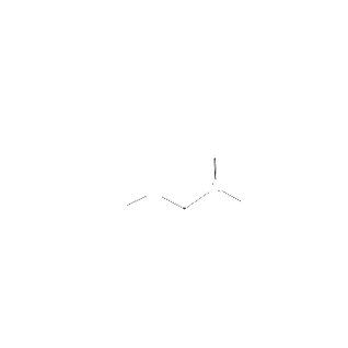 [CH2]CCOCN(CC)CC